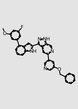 COc1cc(F)cc(-c2cccc3[nH]c(-c4n[nH]c5cnc(-c6cncc(OCc7ccccc7)c6)cc45)cc23)c1